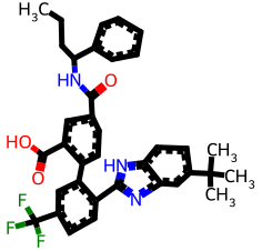 CCCC(NC(=O)c1ccc(-c2cc(C(F)(F)F)ccc2-c2nc3cc(C(C)(C)C)ccc3[nH]2)c(C(=O)O)c1)c1ccccc1